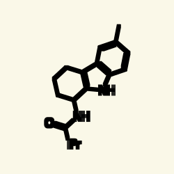 Cc1ccc2[nH]c3c(c2c1)CCCC3NC(=O)C(C)C